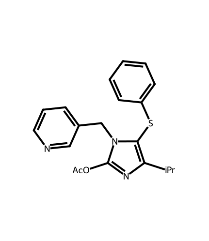 CC(=O)Oc1nc(C(C)C)c(Sc2ccccc2)n1Cc1cccnc1